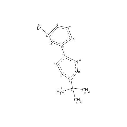 CC(C)(C)c1ccc(-c2cccc(Br)c2)nc1